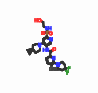 COc1ccc(C(=O)Nc2cnc(S(=O)(=O)NCCO)cc2N2CCC3(CC2)CC3)nc1N1CCC(F)(F)CC1